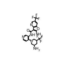 Nc1oc2cc(C(F)(F)F)cnc2c1C(=O)Nc1cnccc1N1CC(N)CC(C(F)(F)F)C1